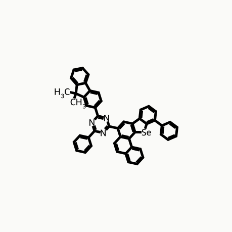 CC1(C)c2ccccc2-c2ccc(-c3nc(-c4ccccc4)nc(-c4cc5c6cccc(-c7ccccc7)c6[se]c5c5c4ccc4ccccc45)n3)cc21